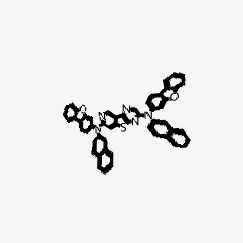 c1ccc2cc(N(c3ccc4c(c3)oc3ccccc34)c3cc4sc5nc(N(c6ccc7ccccc7c6)c6ccc7c(c6)oc6ccccc67)cnc5c4cn3)ccc2c1